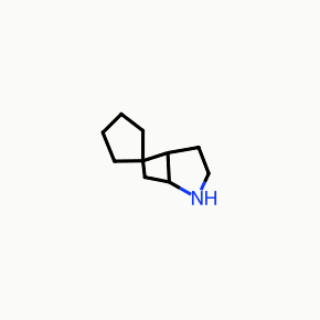 C1CCC2(C1)CC1NCCC12